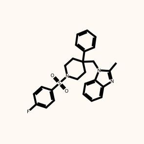 Cc1nc2ccccc2n1CC1(c2ccccc2)CCN(S(=O)(=O)c2ccc(F)cc2)CC1